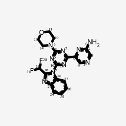 Nc1cncc(-c2nc(N3CCOCC3)nc(-n3c(C(F)F)nc4ccccc43)n2)n1